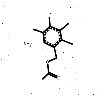 CC(=O)OCc1cc(C)c(C)c(C)c1C.N